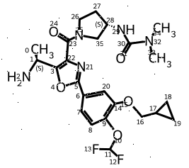 C[C@H](N)c1oc(-c2ccc(OC(F)F)c(OCC3CC3)c2)nc1C(=O)N1CC[C@H](NC(=O)N(C)C)C1